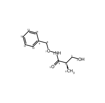 C[C@H](CO)C(=O)NOCc1ccccc1